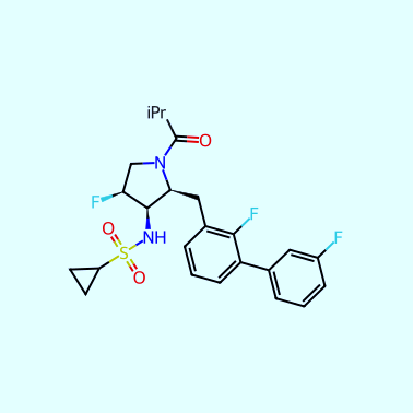 CC(C)C(=O)N1C[C@H](F)[C@H](NS(=O)(=O)C2CC2)[C@@H]1Cc1cccc(-c2cccc(F)c2)c1F